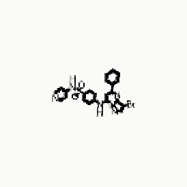 O=S(=O)(Nc1ccncc1)c1ccc(Nc2cc(-c3ccccc3)nc3c(Br)cnn23)cc1